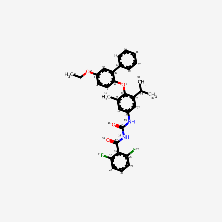 CCOc1ccc(Oc2c(C)cc(NC(=O)NC(=O)c3c(F)cccc3F)cc2C(C)C)c(-c2ccccc2)c1